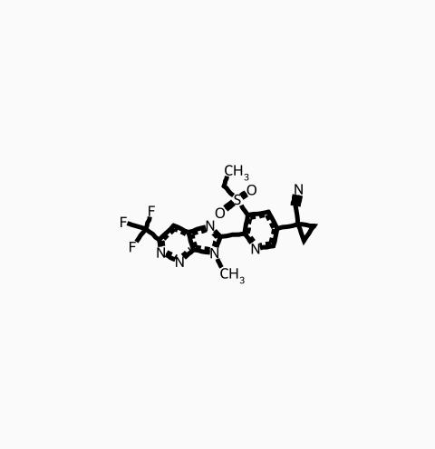 CCS(=O)(=O)c1cc(C2(C#N)CC2)cnc1-c1nc2cc(C(F)(F)F)nnc2n1C